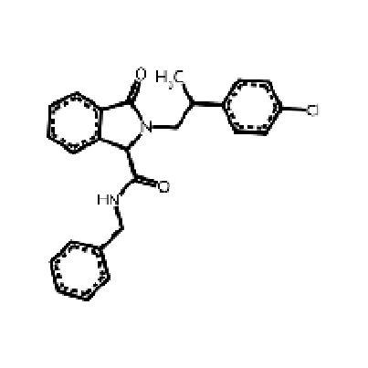 CC(CN1C(=O)c2ccccc2C1C(=O)NCc1ccccc1)c1ccc(Cl)cc1